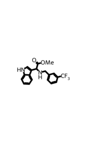 COC(=O)C(NCc1cccc(C(F)(F)F)c1)c1c[nH]c2ccccc12